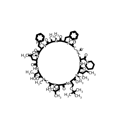 CC[C@H](C)C1C(=O)NC(C(=O)N2CCCCC2)C[S+]([O-])CC(=O)N(C)C(Cc2ccccc2)C(=O)N(C)C(C)C(=O)N(C)C(Cc2ccccc2)C(=O)N(C)C(CC(C)C)C(=O)NC([C@@H](C)O)C(=O)N(C)CC(=O)N(C)C(CC(C)C)C(=O)NC(COC(C)(C)C)C(=O)N1C